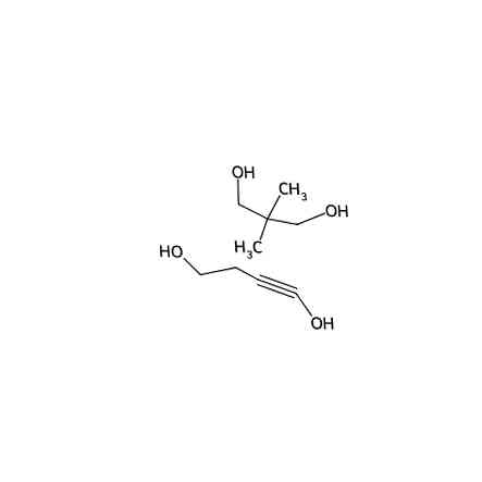 CC(C)(CO)CO.OC#CCCO